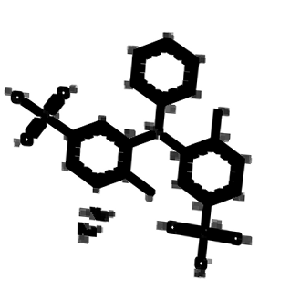 Cc1ccc(S(=O)(=O)[O-])cc1P(c1ccccc1)c1cc(S(=O)(=O)[O-])ccc1C.[Na+].[Na+]